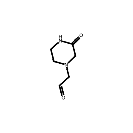 O=[C]CN1CCNC(=O)C1